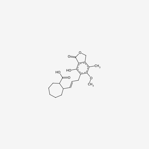 COc1c(C)c2c(c(O)c1CC=CC1CCCCCC1C(=O)O)C(=O)OC2